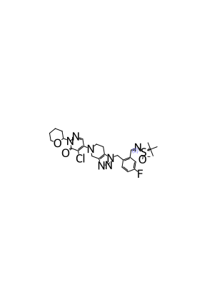 CC(C)(C)[S+]([O-])/N=C\c1cc(F)ccc1Cn1nnc2c1CCN(c1cnn(C3CCCCO3)c(=O)c1Cl)C2